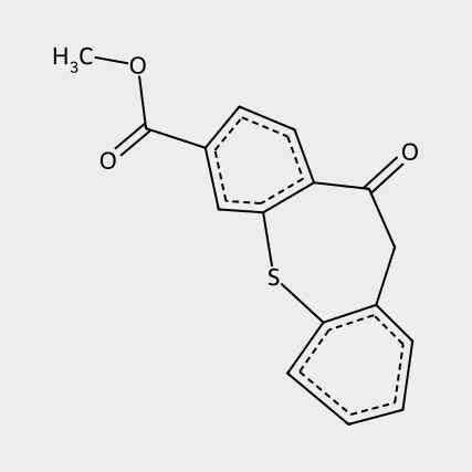 COC(=O)c1ccc2c(c1)Sc1ccccc1CC2=O